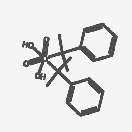 C[C](C)(c1ccccc1)[Cr](=[O])(=[O])([OH])([OH])[C](C)(C)c1ccccc1